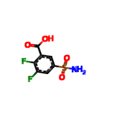 NS(=O)(=O)c1cc(F)c(F)c(C(=O)O)c1